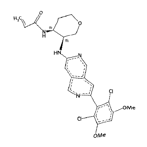 C=CC(=O)N[C@H]1CCOC[C@H]1Nc1cc2cnc(-c3c(Cl)c(OC)cc(OC)c3Cl)cc2cn1